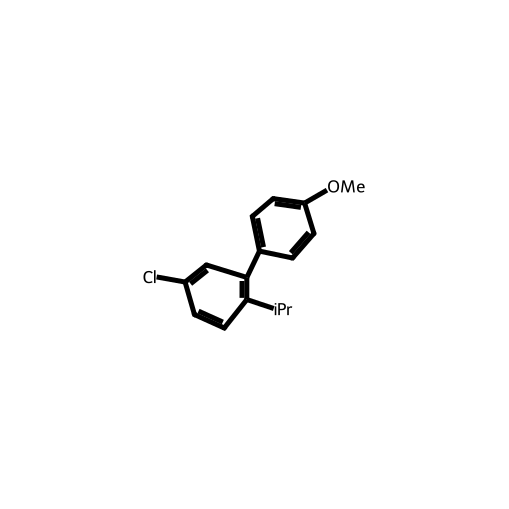 COc1ccc(-c2cc(Cl)ccc2C(C)C)cc1